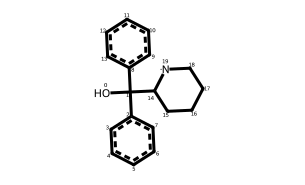 OC(c1ccccc1)(c1ccccc1)C1CCCC[N]1